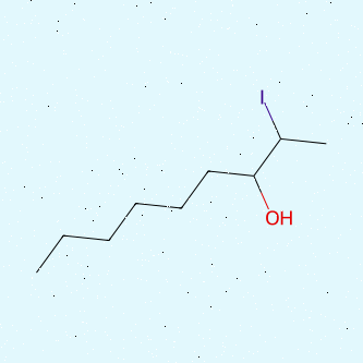 CCCCCCC(O)C(C)I